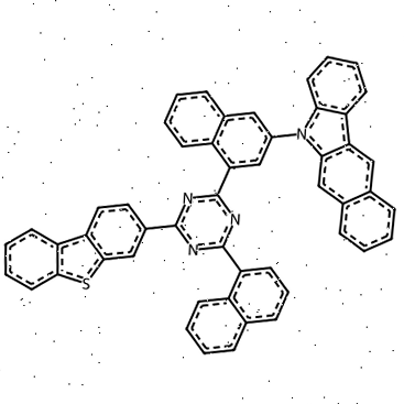 c1ccc2cc3c(cc2c1)c1ccccc1n3-c1cc(-c2nc(-c3ccc4c(c3)sc3ccccc34)nc(-c3cccc4ccccc34)n2)c2ccccc2c1